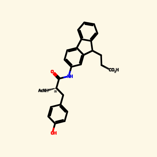 CC(=O)N[C@@H](Cc1ccc(O)cc1)C(=O)Nc1ccc2c(c1)C(CCC(=O)O)c1ccccc1-2